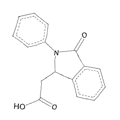 O=C(O)CC1c2ccccc2C(=O)N1c1ccccc1